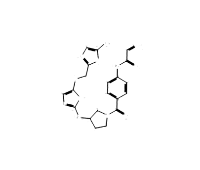 C=CC(=O)Nc1ccc(C(=O)N2CCC(Nc3ncc(SCc4ncc(C(C)(C)C)o4)s3)C2)cc1